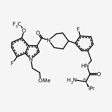 COCCn1cc(C(=O)N2CCC(c3cc(CNC(=O)[C@H](N)C(C)C)ccc3F)CC2)c2c(OC(F)(F)F)ccc(F)c21